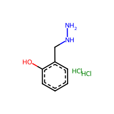 Cl.Cl.NNCc1ccccc1O